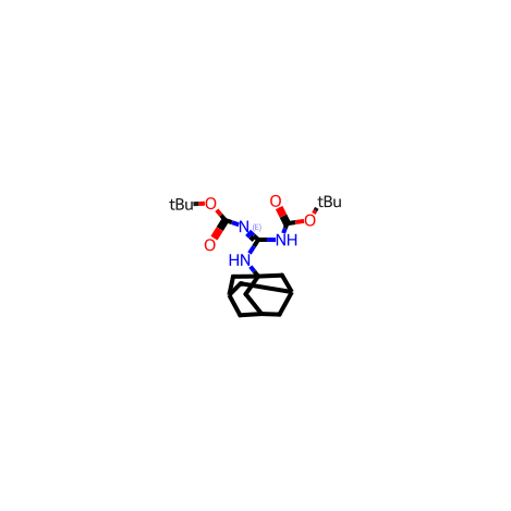 CC(C)(C)OC(=O)/N=C(/NC(=O)OC(C)(C)C)NC12CC3CC(CC(C3)C1)C2